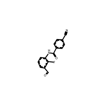 N#Cc1ccc(C(=O)Nc2cccc(C=O)c2F)cc1